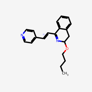 CCCCOC1Cc2ccccc2C(/C=C/c2ccncc2)=N1